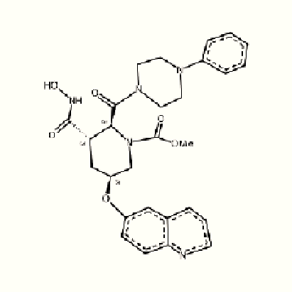 COC(=O)N1C[C@@H](Oc2ccc3ncccc3c2)C[C@H](C(=O)NO)[C@H]1C(=O)N1CCN(c2ccccc2)CC1